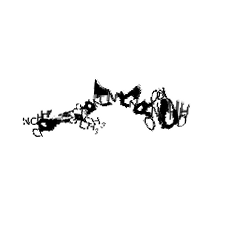 CC1(C)[C@H](Oc2ccc(C#N)c(Cl)c2)C(C)(C)[C@H]1N1Cc2cc(N3CCN(CC4CCN(c5ccc6c(c5)C(O)N(C5CCC(=O)NC5=O)C6=O)CC4)CC3)ccc2C1=O